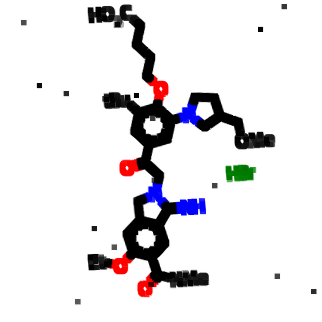 Br.CCOc1cc2c(cc1C(=O)NC)C(=N)N(CC(=O)c1cc(N3CCC(COC)C3)c(OCCCCC(=O)O)c(C(C)(C)C)c1)C2